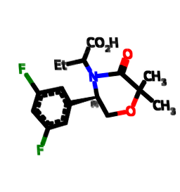 CCC(C(=O)O)N1C(=O)C(C)(C)OC[C@H]1c1cc(F)cc(F)c1